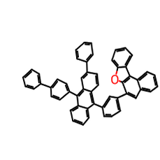 c1ccc(-c2ccc(-c3c4ccccc4c(-c4cccc(-c5cc6ccccc6c6c5oc5ccccc56)c4)c4ccc(-c5ccccc5)cc34)cc2)cc1